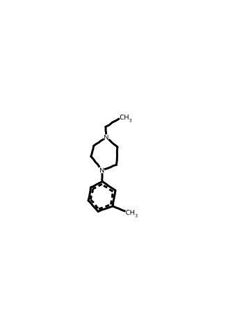 CCN1CCN(c2cccc(C)c2)CC1